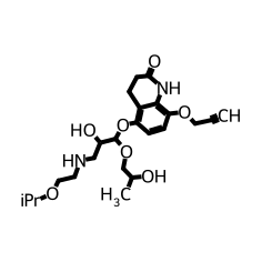 C#CCOc1ccc(OC(OCC(C)O)C(O)CNCCOC(C)C)c2c1NC(=O)CC2